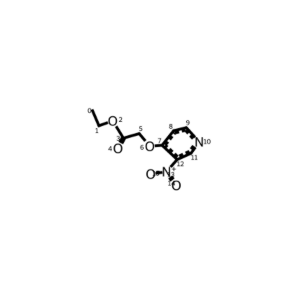 CCOC(=O)COc1ccncc1[N+](=O)[O-]